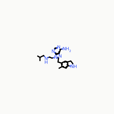 Cc1cc2c(cc1Cc1nc3c(N)ncnc3n1CCNCC(C)C)CCN2